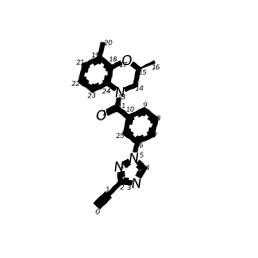 C#Cc1ncn(-c2cccc(C(=O)N3C[C@H](C)Oc4c(C)cccc43)c2)n1